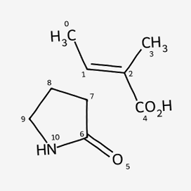 CC=C(C)C(=O)O.O=C1CCCN1